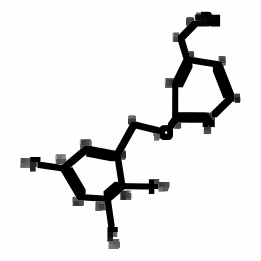 CC(C)(C)Cc1ccnc(OCc2cc(F)cc(F)c2F)c1